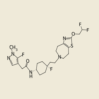 Cn1ncc(CC(=O)N[C@H]2CC[C@](F)(CCN3CCc4nc(OCC(F)F)sc4CC3)CC2)c1F